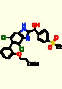 CCS(=O)(=O)c1ccc(C(O)c2nc3c(Cl)c(-c4ccccc4OCCOC)c(Cl)cc3[nH]2)cc1